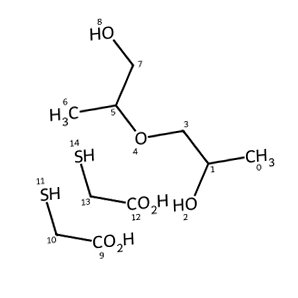 CC(O)COC(C)CO.O=C(O)CS.O=C(O)CS